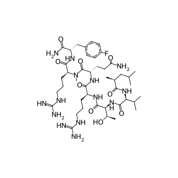 CC(C)C[C@H](C)C(=O)N[C@H](C(=O)N[C@H](C(=O)N[C@@H](CCCNC(=N)N)C(=O)N[C@@H](CCC(N)=O)C(=O)N(C)[C@@H](CCCNC(=N)N)C(=O)N[C@@H](Cc1ccc(F)cc1)C(N)=O)[C@@H](C)O)C(C)C